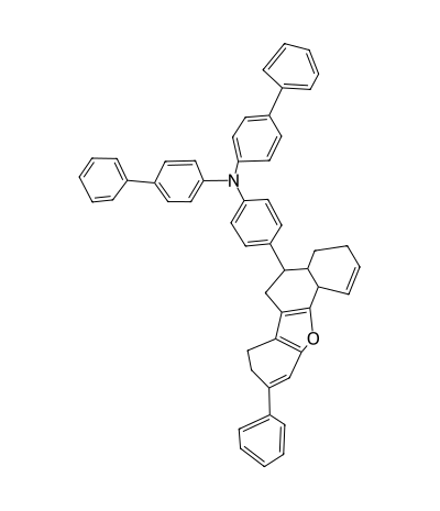 C1=CC2c3oc4c(c3CC(c3ccc(N(c5ccc(-c6ccccc6)cc5)c5ccc(-c6ccccc6)cc5)cc3)C2CC1)CCC(c1ccccc1)=C4